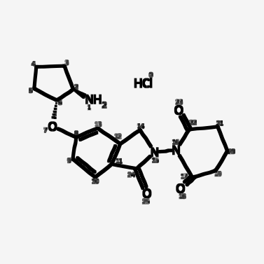 Cl.N[C@@H]1CCC[C@H]1Oc1ccc2c(c1)CN(N1C(=O)CCCC1=O)C2=O